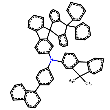 CC1(C)c2ccccc2-c2ccc(N(c3ccc(-c4cccc5ccccc45)cc3)c3ccc4c(c3)C3(c5ccccc5-4)c4ccccc4C(c4ccccc4)(c4ccccc4)c4ccccc43)cc21